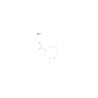 CCC1CCC(C)CN(C(=O)C2CC=CC2)C1